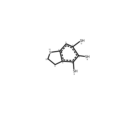 Sc1cc2c(c(S)c1S)CCS2